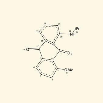 COc1cccc2c1C(=O)c1c(NC(C)C)cccc1C2=O